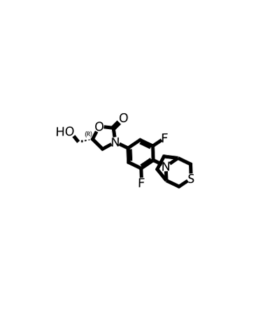 O=C1O[C@@H](CO)CN1c1cc(F)c(N2C3CCC2CSC3)c(F)c1